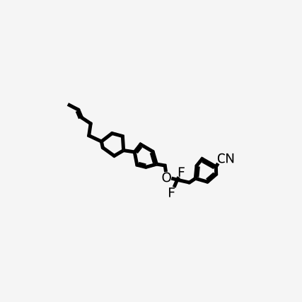 CC=CCCC1CCC(c2ccc(COC(F)(F)Cc3ccc(C#N)cc3)cc2)CC1